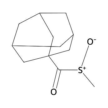 C[S+]([O-])C(=O)C12CC3CC(CC(C3)C1)C2